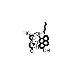 CCCCCC.Cc1cc2ccc(O)c3ccc4cccc1c4c23.O=c1ccn([C@H]2C[C@H](O)[C@@H](CO)O2)c(=O)[nH]1